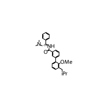 COc1c(CC(C)C)cccc1-c1cccc(C(=O)N[C@H](CN(C)C)c2ccccc2)c1